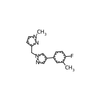 Cc1cc(-c2cnn(Cc3ccn(C)n3)c2)ccc1F